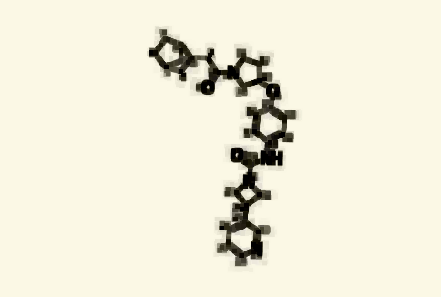 O=C(CC1CC2CCC1C2)N1CCC(Oc2ccc(NC(=O)N3CC(c4cccnc4)C3)cc2)C1